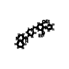 CCOc1cc(CN2CCC(Nc3ccnc4ccccc34)CC2)cc(OCC)c1-n1cccc1